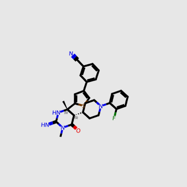 CN1C(=N)N[C@](C)(c2cc(-c3cccc(C#N)c3)cs2)[C@H](C2CCN(c3ccccc3F)CC2)C1=O